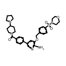 Nc1ncc(-c2ccc(C(=O)N3CCC(N4CCCC4)CC3)cc2)cc1OCc1ccc(S(=O)(=O)N2CCOCC2)cc1